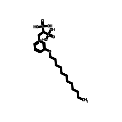 CCCCCCCCCCCCOc1ccc[n+](CC(P(=O)(O)O)P(=O)(O)O)c1